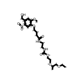 CCOCC(C)OCCOC(=O)NCCNC(=O)CCCOc1cc([N+](=O)[O-])c(CO)cc1OC